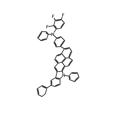 Fc1ccc(N(c2ccccc2)c2ccc(-c3ccc4ccc5c6c(ccc3c46)cc3c4cc(C6=CC=CCC6)ccc4n(-c4ccccc4)c35)cc2)c(F)c1F